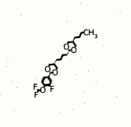 CCCC[C@H]1CO[C@H](CCCC[C@H]2CO[C@H](c3ccc(OC(F)F)c(F)c3)OC2)OC1